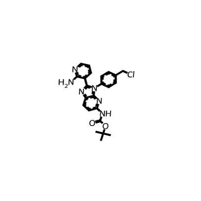 CC(C)(C)OC(=O)Nc1ccc2nc(-c3cccnc3N)n(-c3ccc(CCl)cc3)c2n1